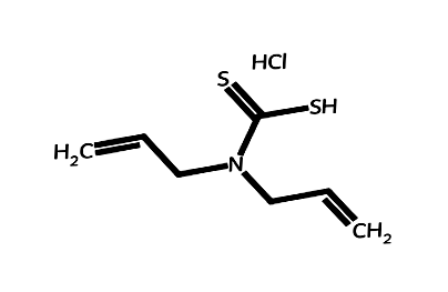 C=CCN(CC=C)C(=S)S.Cl